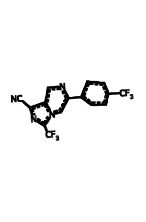 N#Cc1nc(C(F)(F)F)n2cc(-c3ccc(C(F)(F)F)cc3)ncc12